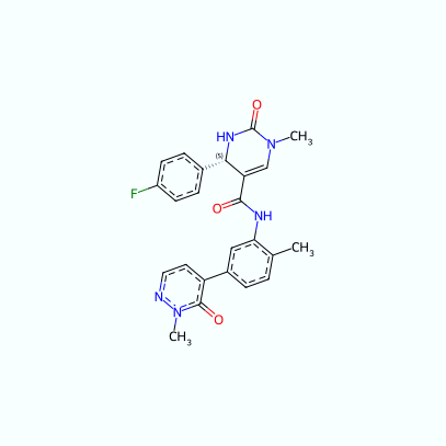 Cc1ccc(-c2ccnn(C)c2=O)cc1NC(=O)C1=CN(C)C(=O)N[C@H]1c1ccc(F)cc1